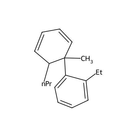 CCCC1C=CC=CC1(C)c1ccccc1CC